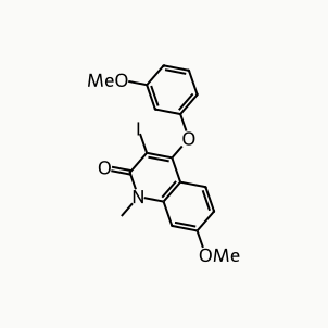 COc1cccc(Oc2c(I)c(=O)n(C)c3cc(OC)ccc23)c1